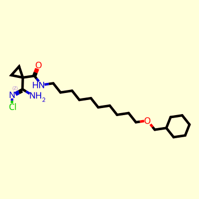 N/C(=N\Cl)C1(C(=O)NCCCCCCCCCCOCC2CCCCC2)CC1